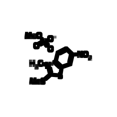 COS(=O)(=O)[O-].CSc1sc2cc([N+](=O)[O-])ccc2[n+]1C